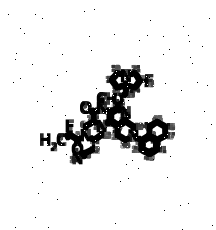 C=C(F)C(=O)N1CC2C(=O)N(C)c3c(OCC45CCCN4C[C@H](F)C5)nc4c(c3N2C[C@@H]1CC#N)CCN(c1cccc2c1CCCC2)C4